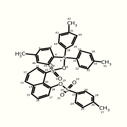 Cc1ccc(S(OS(=O)(=O)c2cccc3cccc(OS(=O)(=O)c4ccc(C)cc4)c23)(c2ccc(C)cc2)c2ccc(C)cc2)cc1